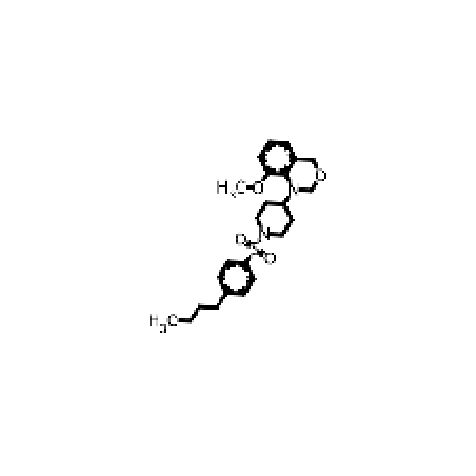 CCCCc1ccc(S(=O)(=O)N2CCC(N3COCc4cccc(OC)c43)CC2)cc1